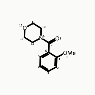 COc1ccccc1C(=O)N1CCOCC1